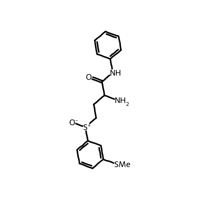 CSc1cccc([S+]([O-])CCC(N)C(=O)Nc2ccccc2)c1